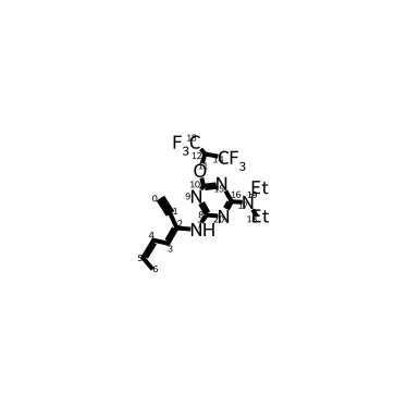 C#C/C(=C\C=C/C)Nc1nc(OC(C(F)(F)F)C(F)(F)F)nc(N(CC)CC)n1